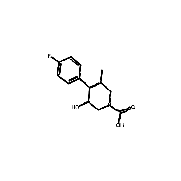 CC1CN(C(=O)O)CC(O)C1c1ccc(F)cc1